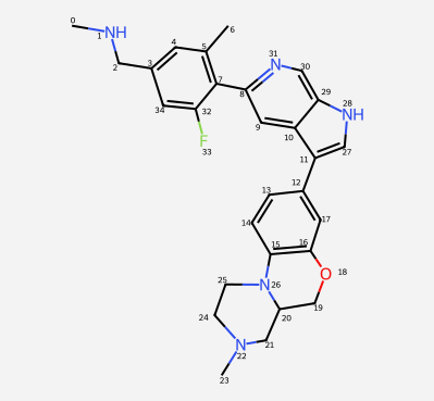 CNCc1cc(C)c(-c2cc3c(-c4ccc5c(c4)OCC4CN(C)CCN54)c[nH]c3cn2)c(F)c1